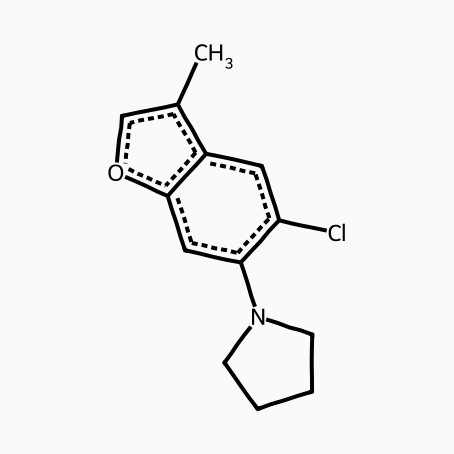 Cc1coc2cc(N3CCCC3)c(Cl)cc12